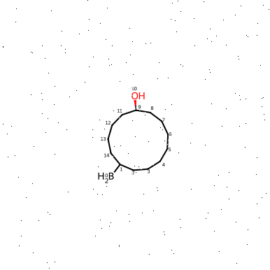 BC1CCCCCCC[C@H](O)CCCC1